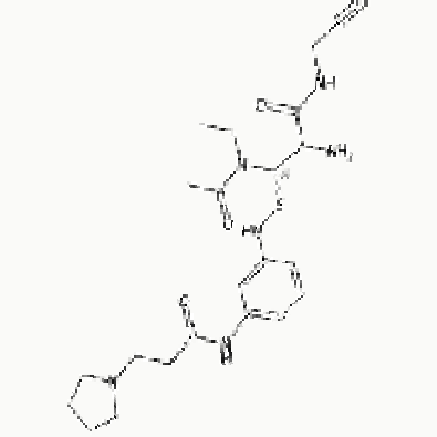 C#CCNC(=O)C(N)[C@H](SNc1cccc(NC(=O)CCN2CCCC2)c1)N(CC)C(C)=O